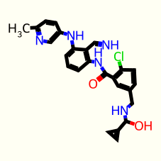 Cc1ccc(Nc2cccc(NC(=O)c3cc(CNC(O)C4=CC4)ccc3Cl)c2C=N)cn1